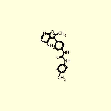 Cc1ccc(NC(=O)Nc2ccc(-c3c(C)oc4ncnc(N)c34)cc2)cc1